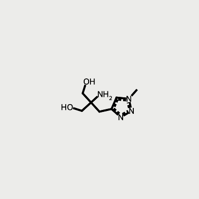 Cn1cc(CC(N)(CO)CO)nn1